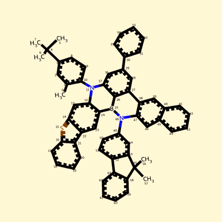 Cc1cc(C(C)(C)C)ccc1N1c2cc3sc4ccccc4c3cc2B2c3c(cc(-c4ccccc4)cc31)-c1cc3ccccc3cc1N2c1ccc2c(c1)C(C)(C)c1ccccc1-2